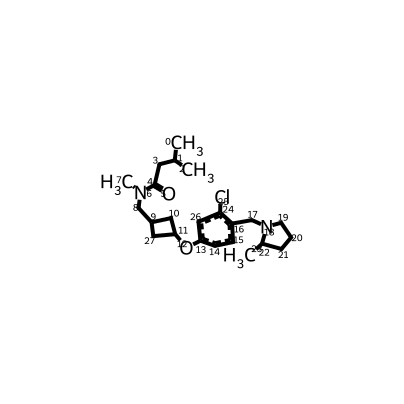 CC(C)CC(=O)N(C)CC1CC(Oc2ccc(CN3CCCC3C)c(Cl)c2)C1